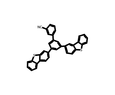 N#Cc1cccc(-c2cc(-c3ccc4c(c3)sc3ccccc34)cc(-c3ccc4sc5ccccc5c4c3)c2)c1